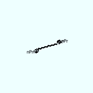 CCC[n+]1ccn(CCCCCCCCCCCCn2cc[n+](CCC)c2)c1